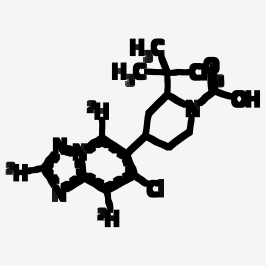 [2H]c1nc2c([2H])c(Cl)c(C3CCN(C(=O)O)C(C(C)(C)C)C3)c([2H])n2n1